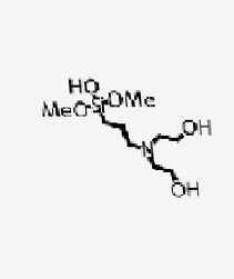 CO[Si](O)(CCCN(CCO)CCO)OC